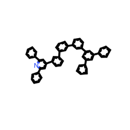 c1ccc(-c2cc(-c3ccccc3)cc(-c3cccc(-c4cccc(-c5cccc(-c6cc(-c7ccccc7)nc(-c7ccccc7)c6)c5)c4)c3)c2)cc1